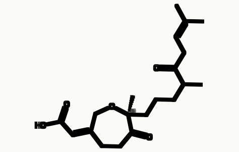 CC(C)=CCC(=O)C(C)CCC[C@]1(C)OCC(=CC(=O)O)CCC1=O